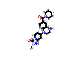 Cn1nc2cc(N3CCNc4cc(C(=O)N5CCCCC5)cnc43)ccn2c1=O